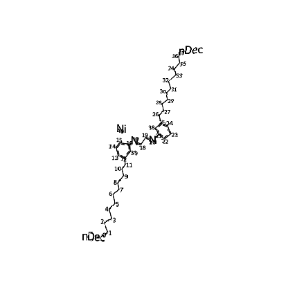 CCCCCCCCCCCCCCCCCCCCCc1cccc(N=CC=Nc2cccc(CCCCCCCCCCCCCCCCCCCCC)c2)c1.[Ni]